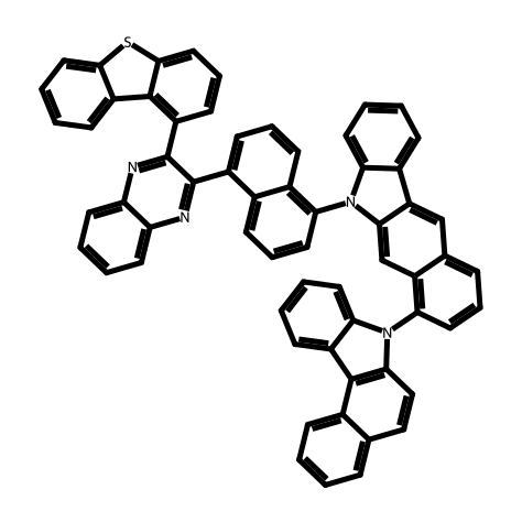 c1cc(-n2c3ccccc3c3c4ccccc4ccc32)c2cc3c(cc2c1)c1ccccc1n3-c1cccc2c(-c3nc4ccccc4nc3-c3cccc4sc5ccccc5c34)cccc12